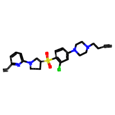 COCCN1CCN(c2ccc(S(=O)(=O)C3CCN(c4cccc(C#N)n4)C3)c(Cl)c2)CC1